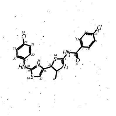 CC1N=C(NC(=O)c2ccc(Cl)cc2)SC1c1csc(Nc2ccc(Cl)cc2)n1